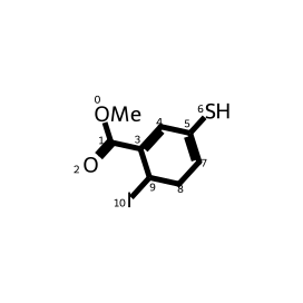 COC(=O)C1=CC(S)=CCC1I